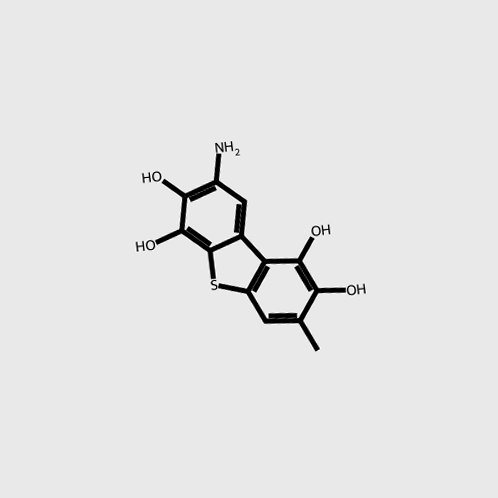 Cc1cc2sc3c(O)c(O)c(N)cc3c2c(O)c1O